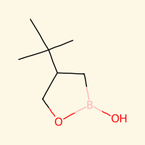 CC(C)(C)C1COB(O)C1